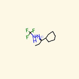 CC/C(=N\NC(F)(F)F)C1CCCCC1